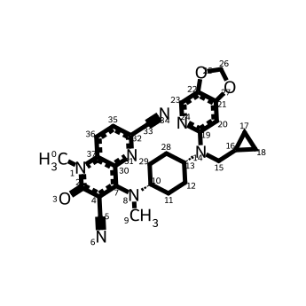 Cn1c(=O)c(C#N)c(N(C)[C@H]2CC[C@@H](N(CC3CC3)c3cc4c(cn3)OCO4)CC2)c2nc(C#N)ccc21